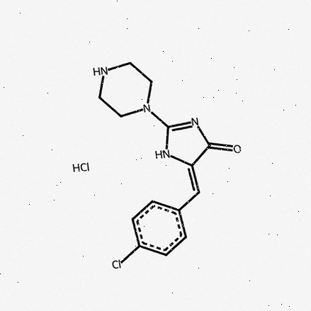 Cl.O=C1N=C(N2CCNCC2)N/C1=C\c1ccc(Cl)cc1